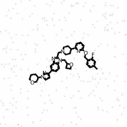 Cc1ccc(COc2cccc(C3CCN(Cc4nc5cc(-c6ccn(C7CCCOC7)n6)ccc5n4CC4CCO4)CC3)n2)c(F)c1